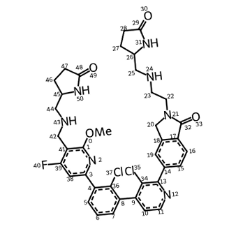 COc1nc(-c2cccc(-c3ccnc(-c4ccc5c(c4)CN(CCNCC4CCC(=O)N4)C5=O)c3Cl)c2Cl)cc(F)c1CNCC1CCC(=O)N1